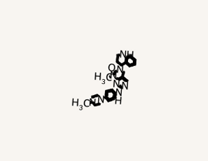 CN1CCN(c2ccc(Nc3ncc4c(n3)N(C)C(=O)N([C@@H]3CCNc5ccccc53)C4)cc2)CC1